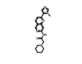 Cn1cncc1-c1ccc2cnc(NC(=O)CN3CCCCC3)cc2n1